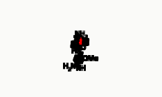 COc1cc(C(=N)N)ccc1CNC(=O)[C@]1(C2CC3CCC2C3)CCCN1C(=O)CN